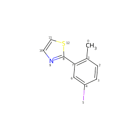 Cc1ccc(I)cc1-c1nccs1